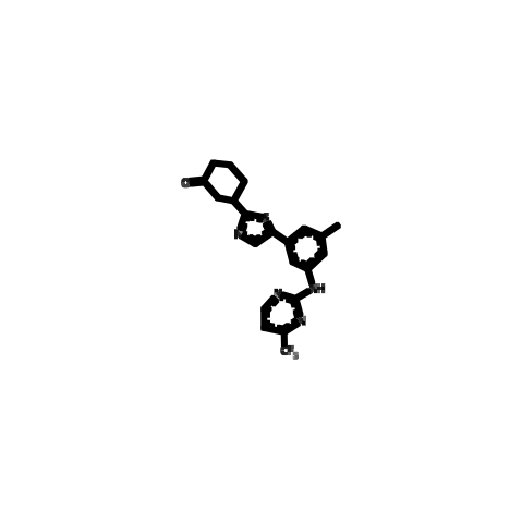 Cc1cc(Nc2nccc(C(F)(F)F)n2)cc(-c2cnc(C3CCCC(=O)C3)s2)c1